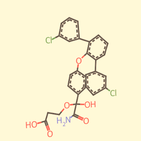 NC(=O)C(O)(OCCC(=O)O)c1ccc(Oc2c(-c3cccc(Cl)c3)cccc2-c2cccc(Cl)c2)cc1